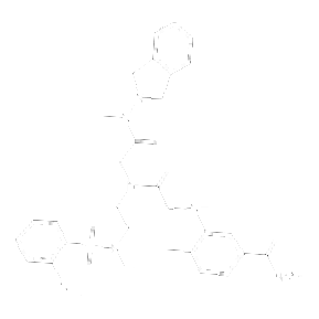 CNC(=O)c1ccc(C)c(NCC(=O)N(CCN(C(C)C)S(=O)(=O)c2ccccc2[N+](=O)[O-])CC(=O)N(C)N2Cc3ccccc3C2)c1